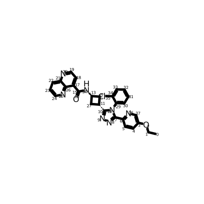 CCOc1ccc(-c2nnc([C@H]3C[C@H](NC(=O)c4ccnc5cccnc45)C3)n2-c2ccccc2Cl)nc1